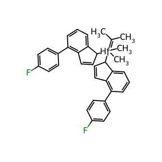 C[C](C)=[Hf]([CH3])([CH3])([CH]1C=Cc2c(-c3ccc(F)cc3)cccc21)[CH]1C=Cc2c(-c3ccc(F)cc3)cccc21